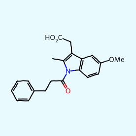 COc1ccc2c(c1)c(CC(=O)O)c(C)n2C(=O)CCc1ccccc1